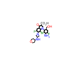 Nc1cc(-n2cc(C(=O)O)c(=O)c3cc(F)c(N4CC(NC5CCOCC5)C4)c(Br)c32)c(CO)cc1F